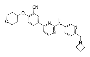 N#Cc1cc(-c2ccnc(Nc3ccc(CN4CCC4)nc3)n2)ccc1OC1CCOCC1